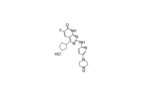 Cl.O=c1[nH]c2nc(Nc3ccc(N4CCNCC4)cn3)nc(C3CCCC3)c2cc1F